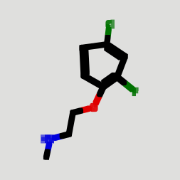 CNCCOc1ccc(Cl)cc1F